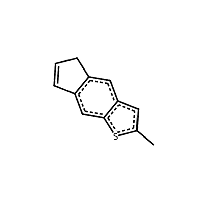 Cc1cc2cc3c(cc2s1)C=CC3